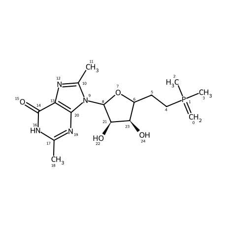 C=P(C)(C)CCC1OC(n2c(C)nc3c(=O)[nH]c(C)nc32)[C@H](O)[C@@H]1O